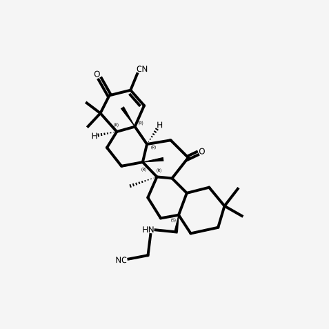 CC1(C)CC[C@]2(CNCC#N)CC[C@]3(C)C(C(=O)C[C@@H]4[C@@]5(C)C=C(C#N)C(=O)C(C)(C)[C@@H]5CC[C@]43C)C2C1